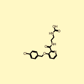 O=C(O)NCCNC(=O)c1ncccc1OCc1ccc(Cl)cc1